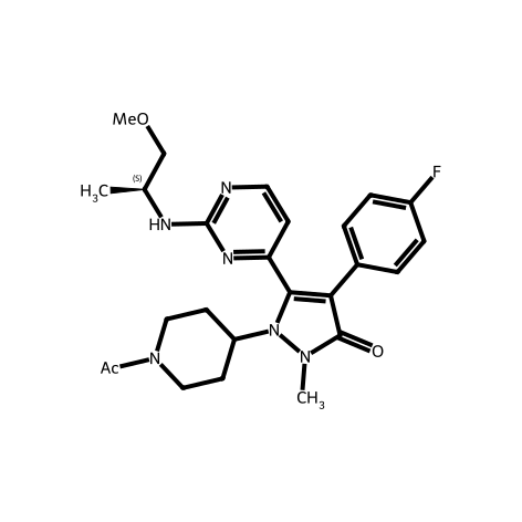 COC[C@H](C)Nc1nccc(-c2c(-c3ccc(F)cc3)c(=O)n(C)n2C2CCN(C(C)=O)CC2)n1